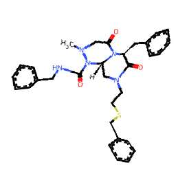 CN1CC(=O)N2[C@@H](Cc3ccccc3)C(=O)N(CCSCc3ccccc3)C[C@@H]2N1C(=O)NCc1ccccc1